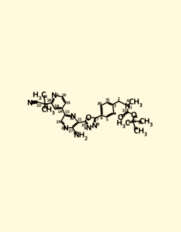 CN(Cc1ccc(-c2nnc(-c3nc(-c4ccnc(C(C)(C)C#N)c4)cnc3N)o2)cc1)C(=O)OC(C)(C)C